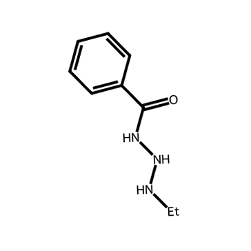 CCNNNC(=O)c1ccccc1